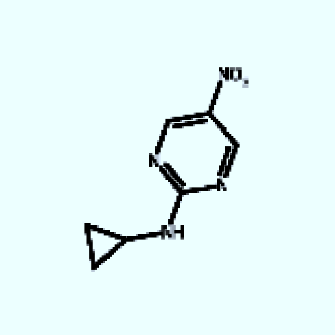 O=[N+]([O-])c1cnc(NC2CC2)nc1